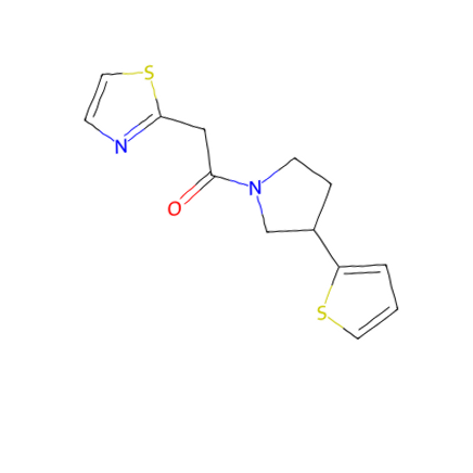 O=C(Cc1nccs1)N1CCC(c2cccs2)C1